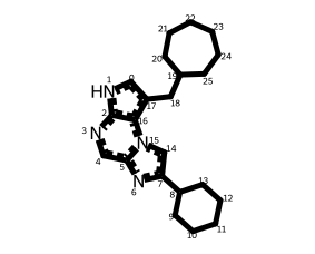 c1[nH]c2ncc3nc(C4CCCCC4)cn3c2c1CC1CCCCCC1